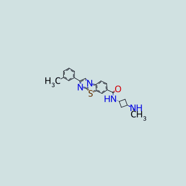 CN[C@H]1C[C@H](NC(=O)c2ccc3c(c2)sc2nc(-c4cccc(C)c4)cn23)C1